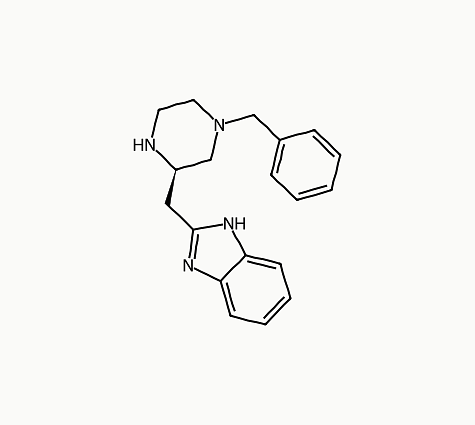 c1ccc(CN2CCN[C@H](Cc3nc4ccccc4[nH]3)C2)cc1